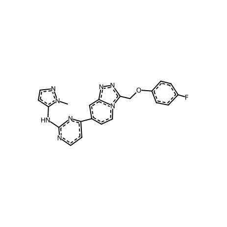 Cn1nccc1Nc1nccc(-c2ccn3c(COc4ccc(F)cc4)nnc3c2)n1